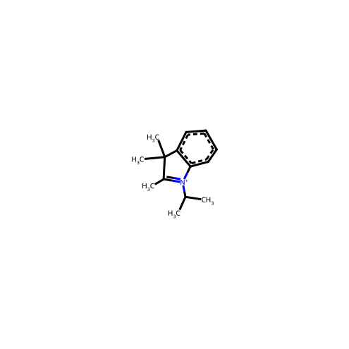 CC1=[N+](C(C)C)c2ccccc2C1(C)C